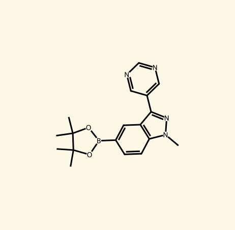 Cn1nc(-c2cncnc2)c2cc(B3OC(C)(C)C(C)(C)O3)ccc21